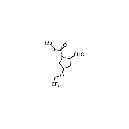 CC(C)(C)OC(=O)N1C[C@H](OCC(F)(F)F)C[C@@H]1C=O